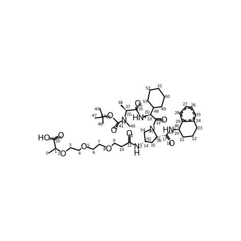 CC(OCCOCCOCCC(=O)N[C@H]1C[C@@H](C(=O)N[C@@H]2CCCc3ccccc32)N(C(=O)[C@@H](NC(=O)[C@H](C)N(C)C(=O)OC(C)(C)C)C2CCCCC2)C1)C(=O)O